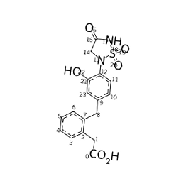 O=C(O)Cc1ccccc1Cc1ccc(N2CC(=O)NS2(=O)=O)c(O)c1